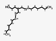 CCCCCCSSCC(CCO)CSSCCCCCC